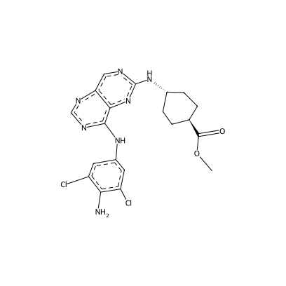 COC(=O)[C@H]1CC[C@H](Nc2ncc3ncnc(Nc4cc(Cl)c(N)c(Cl)c4)c3n2)CC1